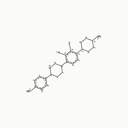 CCCc1ccc(C2CCC(c3ccc(C4CCC(CCC)CC4)c(F)c3F)CO2)cn1